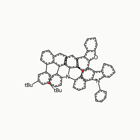 CC(C)(C)c1cc(-c2cccc3cccc(-c4ccccc4N(c4ccccc4-c4ccc5c(c4)oc4ccccc45)c4ccccc4-c4ccc5c(c4)c4ccccc4n5-c4ccccc4)c23)cc(C(C)(C)C)c1